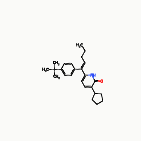 CCC/C=C(\c1ccc(C(C)(C)C)cc1)c1ccc(C2CCCC2)c(=O)[nH]1